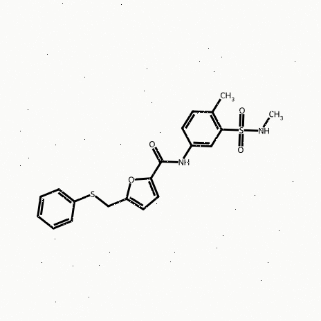 CNS(=O)(=O)c1cc(NC(=O)c2ccc(CSc3ccccc3)o2)ccc1C